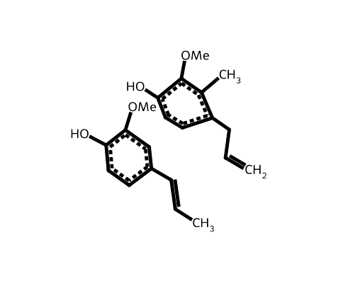 C=CCc1ccc(O)c(OC)c1C.CC=Cc1ccc(O)c(OC)c1